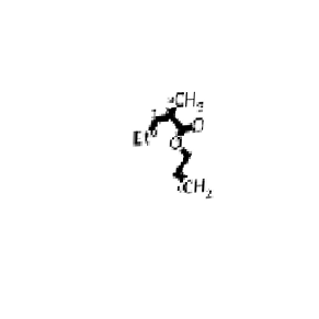 [CH2]CC=C(C)C(=O)OCC=C